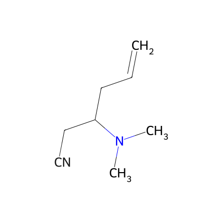 C=CCC(CC#N)N(C)C